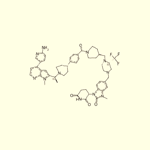 C[C@@H](c1cc2c(-c3ccc(N)nc3)ccnc2n1C)N1CCC(c2ccc(C(=O)N3CCC(CN4CCN(Cc5ccc6c(c5)n(C)c(=O)n6C5CCC(=O)NC5=O)C[C@H]4C(F)(F)F)CC3)cc2)CC1